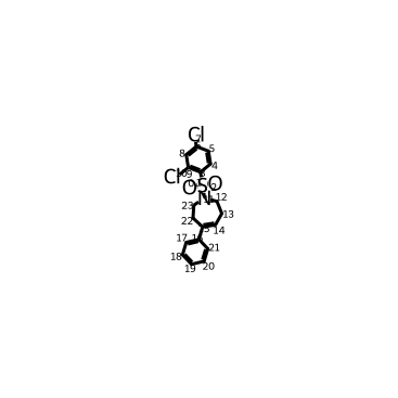 O=S(=O)(c1ccc(Cl)cc1Cl)N1CCC=C(c2ccccc2)CC1